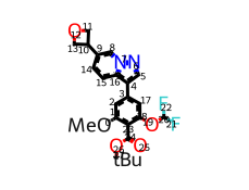 COc1cc(-c2cnn3cc(C4COC4)ccc23)cc(OC(F)F)c1C(=O)OC(C)(C)C